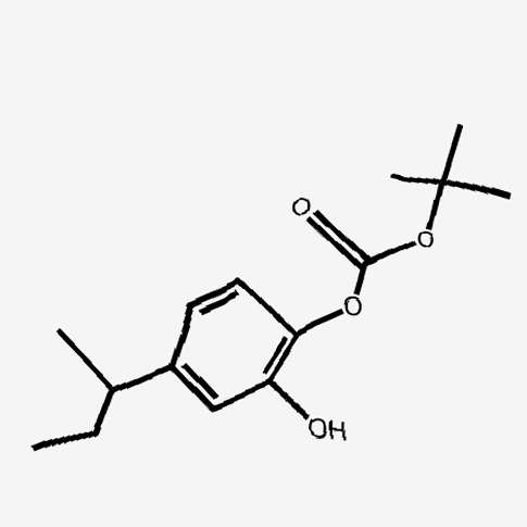 CCC(C)c1ccc(OC(=O)OC(C)(C)C)c(O)c1